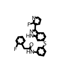 O=C(Cc1ccccc1F)Nc1cccc(Sc2ccc3c(-c4cccnc4F)n[nH]c3c2)c1